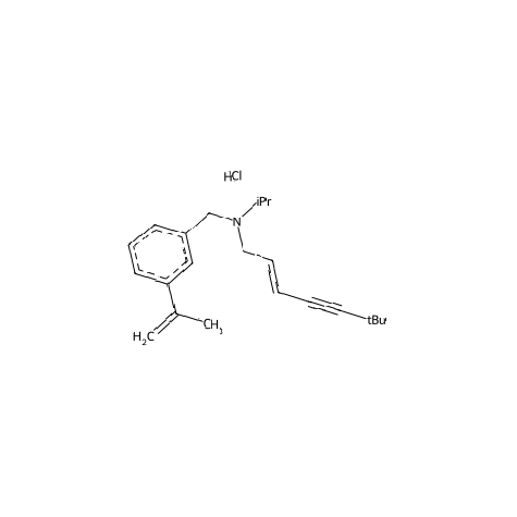 C=C(C)c1cccc(CN(CC=CC#CC(C)(C)C)C(C)C)c1.Cl